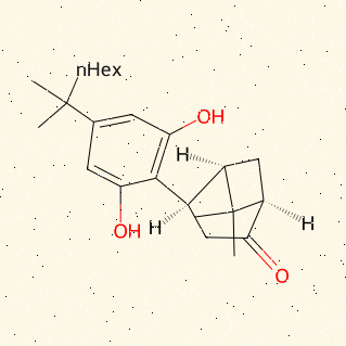 CCCCCCC(C)(C)c1cc(O)c([C@@H]2CC(=O)[C@@H]3C[C@H]2C3(C)C)c(O)c1